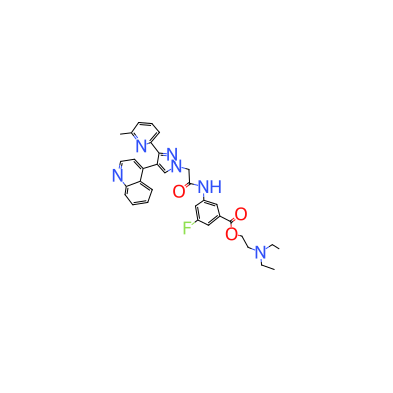 CCN(CC)CCOC(=O)c1cc(F)cc(NC(=O)Cn2cc(-c3ccnc4ccccc34)c(-c3cccc(C)n3)n2)c1